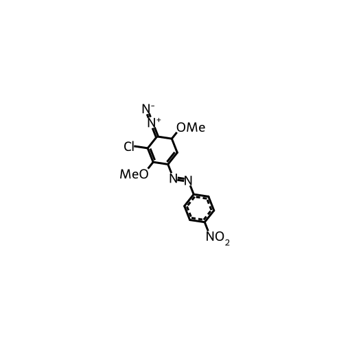 COC1=C(Cl)C(=[N+]=[N-])C(OC)C=C1N=Nc1ccc([N+](=O)[O-])cc1